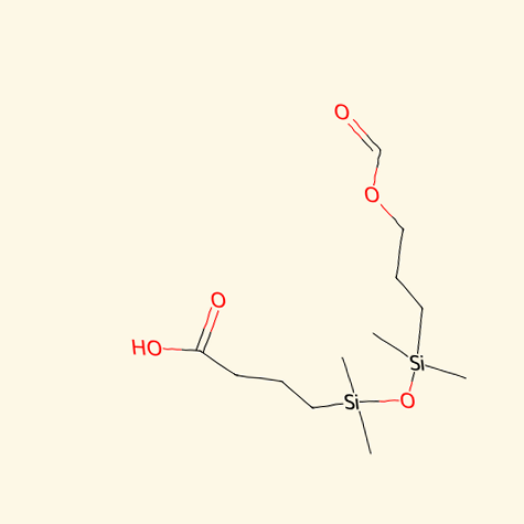 C[Si](C)(CCCOC=O)O[Si](C)(C)CCCC(=O)O